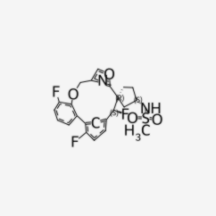 CS(=O)(=O)N[C@H]1CC[C@@]2(C1)c1nc(co1)COc1c(F)cccc1-c1cc(ccc1F)[C@@H]2F